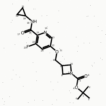 CC(C)(C)OC(=O)N1CC(COc2cnc(C(=O)NC3CC3)c(F)c2)C1